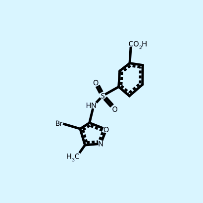 Cc1noc(NS(=O)(=O)c2cccc(C(=O)O)c2)c1Br